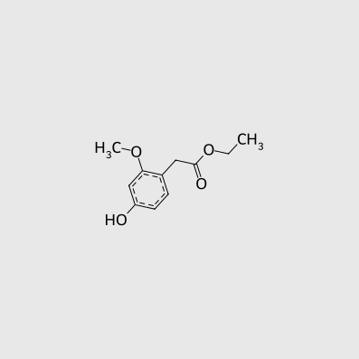 CCOC(=O)Cc1ccc(O)cc1OC